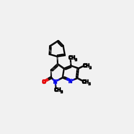 Cc1nc2c(c(-c3ccccc3)cc(=O)n2C)c(C)c1C